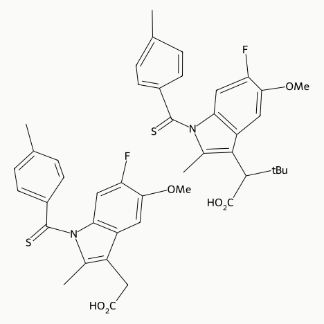 COc1cc2c(C(C(=O)O)C(C)(C)C)c(C)n(C(=S)c3ccc(C)cc3)c2cc1F.COc1cc2c(CC(=O)O)c(C)n(C(=S)c3ccc(C)cc3)c2cc1F